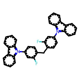 Fc1cc(-n2c3ccccc3c3ccccc32)ccc1Cc1ccc(-n2c3ccccc3c3ccccc32)cc1F